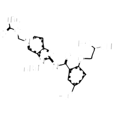 CCCCn1/c(=N/C(=O)c2cc(C(F)(F)F)ccc2OC[C@H](C)O)sc2cc[n+](COC(=O)C(C)(C)C)cc21